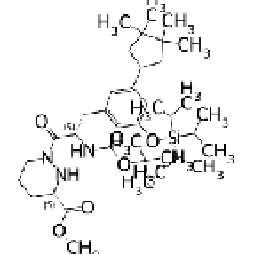 COC(=O)[C@@H]1CCCN(C(=O)[C@H](Cc2cc(O[Si](C(C)C)(C(C)C)C(C)C)cc(C3CC(C)(C)C(C)(C)C3)c2)NC(=O)OC(C)(C)C)N1